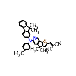 Cc1ccc(N(c2ccc3c(c2)C(C)(C)c2ccccc2-3)c2cc3c(cn2)-c2sc(C=C(C#N)C#N)cc2C3(C)C)cc1